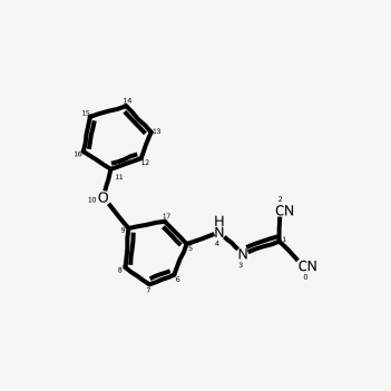 N#CC(C#N)=NNc1cccc(Oc2ccccc2)c1